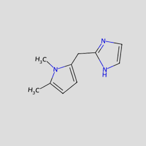 Cc1ccc(Cc2ncc[nH]2)n1C